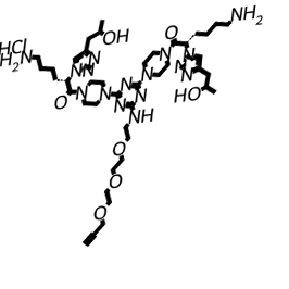 C#CCOCCOCCOCCNc1nc(N2CCN(C(=O)[C@H](CCCCN)n3cc(CC(C)O)nn3)CC2)nc(N2CCN(C(=O)[C@H](CCCCN)n3cc(CC(C)O)nn3)CC2)n1.Cl